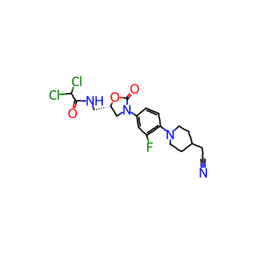 N#CCC1CCN(c2ccc(N3C[C@H](CNC(=O)C(Cl)Cl)OC3=O)cc2F)CC1